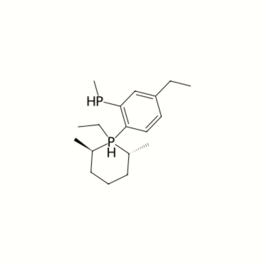 CCc1ccc([PH]2(CC)[C@H](C)CCC[C@H]2C)c(PC)c1